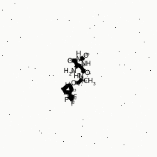 C[C@H](COc1cccc(C(F)(F)F)c1)NC(=O)c1[nH]c(=O)[nH]c(=O)c1N